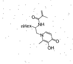 C=C(C)C(=O)NC(CCCCCC)Cn1ccc(=O)c(O)c1C